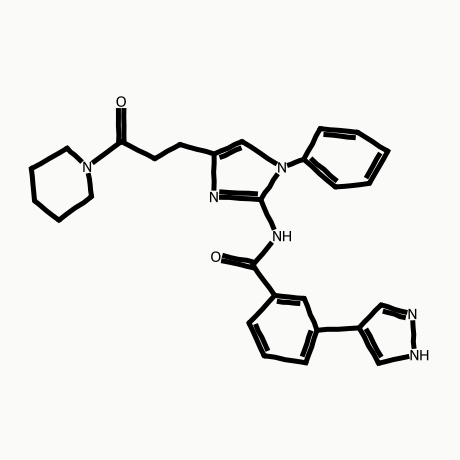 O=C(Nc1nc(CCC(=O)N2CCCCC2)cn1-c1ccccc1)c1cccc(-c2cn[nH]c2)c1